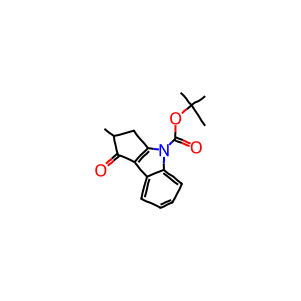 CC1Cc2c(c3ccccc3n2C(=O)OC(C)(C)C)C1=O